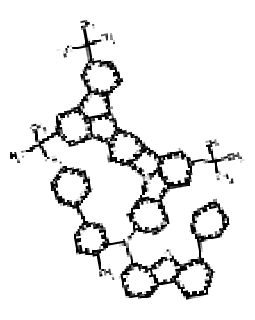 Cc1ccc(-c2ccccc2)cc1N(c1ccc2c3cc(C(C)(C)C)cc4c5cc6c(cc5n(c2c1)c34)c1cc(C(C)(C)C)cc2c3cc(C(C)(C)C)ccc3n6c21)c1cccc2c1oc1c(-c3ccccc3)cccc12